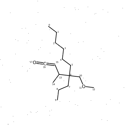 CCCCCCC(CCC)(COC)C(C)C=C=O